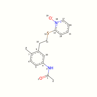 CC(=O)Nc1ccc(C)c(CCSc2cccc[n+]2[O-])c1